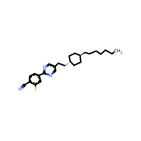 CCCCCCC[C@H]1CC[C@H](CCc2cnc(-c3ccc(C#N)c(F)c3)nc2)CC1